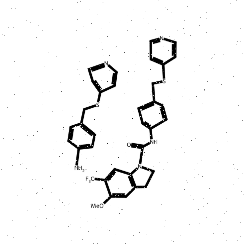 COc1cc2c(cc1C(F)(F)F)N(C(=O)Nc1ccc(CSc3ccncc3)cc1)CC2.Nc1ccc(CSc2ccncc2)cc1